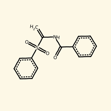 C=C(NC(=O)c1ccccc1)S(=O)(=O)c1ccccc1